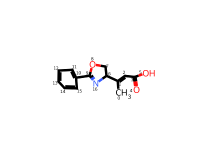 CC(=CC(=O)O)C1COC(c2ccccc2)=N1